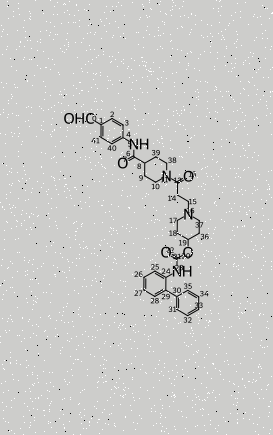 O=Cc1ccc(NC(=O)C2CCN(C(=O)CCN3CCC(OC(=O)Nc4ccccc4-c4ccccc4)CC3)CC2)cc1